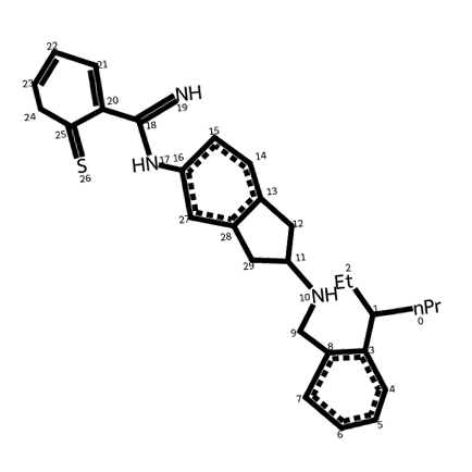 CCCC(CC)c1ccccc1CNC1Cc2ccc(NC(=N)C3=CC=CCC3=S)cc2C1